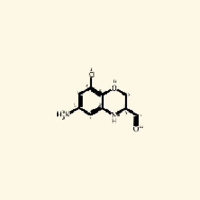 Nc1cc(Cl)c2c(c1)NC(C=O)CO2